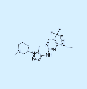 CCNc1nc(Nc2cnn(C3CCCN(C)C3)c2C)ncc1C(F)(F)F